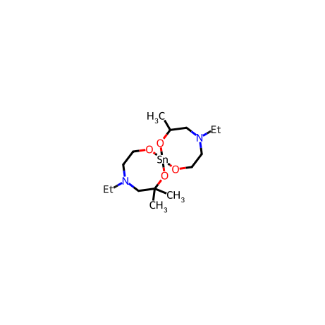 CCN1CC[O][Sn]2([O]CCN(CC)CC(C)(C)[O]2)[O]C(C)C1